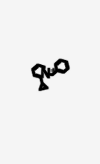 c1ccc(C[n+]2ccccc2C2CC2)cc1